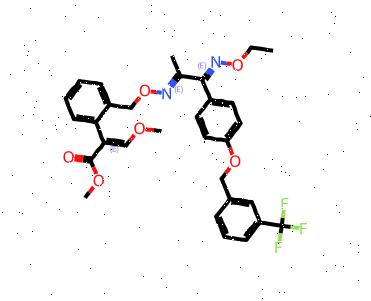 CCO/N=C(/C(C)=N/OCc1ccccc1/C(=C\OC)C(=O)OC)c1ccc(OCc2cccc(C(F)(F)F)c2)cc1